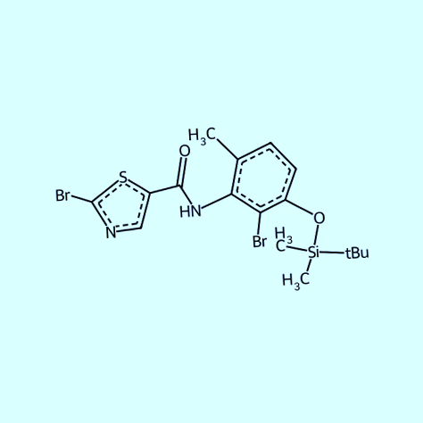 Cc1ccc(O[Si](C)(C)C(C)(C)C)c(Br)c1NC(=O)c1cnc(Br)s1